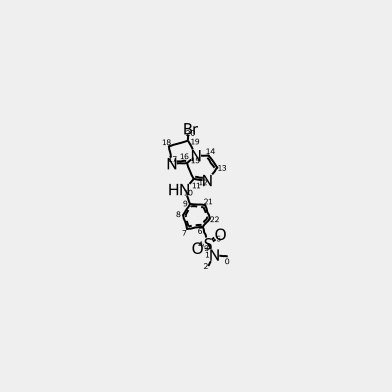 CN(C)S(=O)(=O)c1ccc(NC2=NC=CN3C2=NCC3Br)cc1